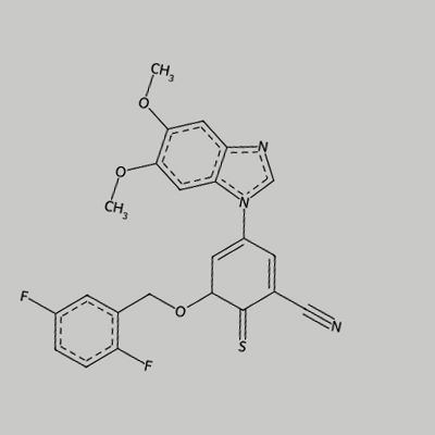 COc1cc2ncn(C3=CC(OCc4cc(F)ccc4F)C(=S)C(C#N)=C3)c2cc1OC